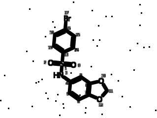 O=S(=O)(Nc1ccc2c(c1)OCO2)c1ccc(Br)cc1